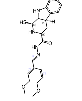 COC\C=C/C(/C=N/NC(=O)[C@@H]1C[C@@H]2c3ccccc3NC2[C@H](S)N1)=C\COC